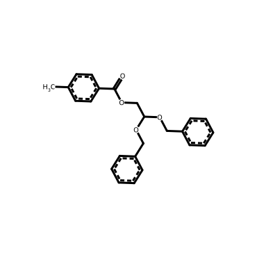 Cc1ccc(C(=O)OCC(OCc2ccccc2)OCc2ccccc2)cc1